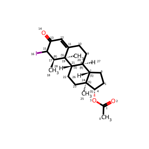 CC(=O)O[C@H]1CC[C@H]2[C@@H]3CCC4=CC(=O)C(I)[C@H](C)[C@]4(C)[C@H]3CC[C@]12C